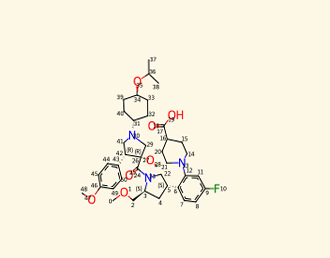 COC[C@@H]1C[C@@H](c2ccc(F)cc2N2CCC(C(=O)O)CC2)CN1C(=O)[C@]1(OC)CN([C@H]2CC[C@H](OC(C)C)CC2)C[C@H]1c1ccc(OC)cc1